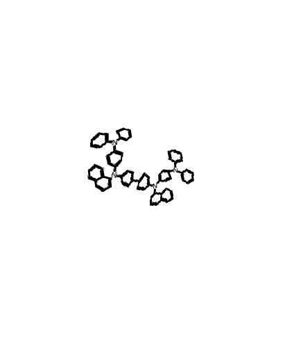 c1ccc(N(c2ccccc2)c2ccc(N(c3ccc(-c4ccc(N(c5ccc(N(c6ccccc6)c6ccccc6)cc5)c5cccc6ccccc56)cc4)cc3)c3cccc4ccccc34)cc2)cc1